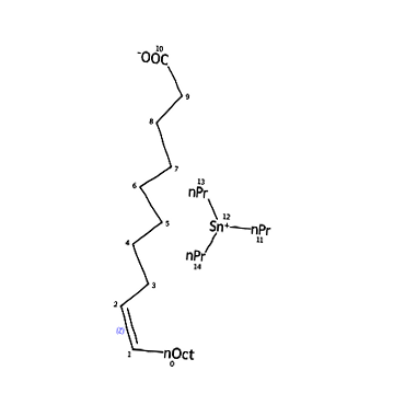 CCCCCCCC/C=C\CCCCCCCC(=O)[O-].CC[CH2][Sn+]([CH2]CC)[CH2]CC